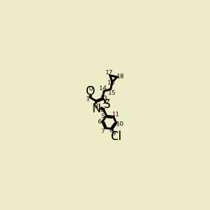 O=Cc1nc(-c2ccc(Cl)cc2)sc1CCC1CC1